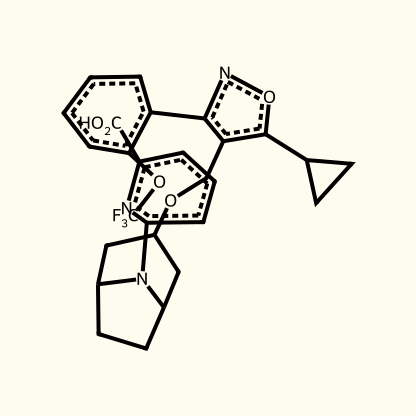 O=C(O)c1cccc(N2C3CCC2CC(OCc2c(-c4ccccc4OC(F)(F)F)noc2C2CC2)C3)n1